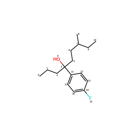 CCCC(O)(CCC(C)CC)c1ccc(F)cc1